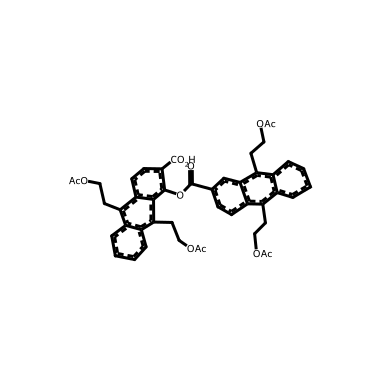 CC(=O)OCCc1c2ccccc2c(CCOC(C)=O)c2cc(C(=O)Oc3c(C(=O)O)ccc4c(CCOC(C)=O)c5ccccc5c(CCOC(C)=O)c34)ccc12